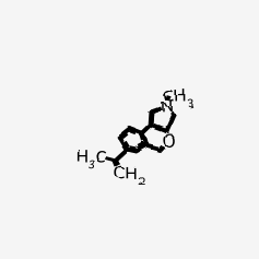 C=C(C)c1ccc2c(c1)COC1CN(C)CC21